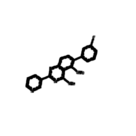 CNc1nc(-c2cccnc2)nc2ccc(-c3cccc(F)c3)c(OC)c12